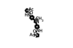 CC(=O)N1CCC[C@H]1C(=O)Nc1ccc(-c2cc(-c3ccc(NC(=O)[C@@H]4CCCN4C(C)=O)cc3)n(C)n2)cc1